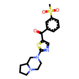 CS(=O)(=O)c1cccc(C(=O)c2cnc(N3CCN4CCCC4C3)s2)c1